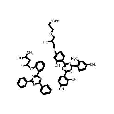 CCC(CC(C)O)Oc1ccccc1-c1nc(-c2ccccc2)nc(-c2ccccc2)n1.CCCCCCCCCCCCOCC(O)COc1ccc(-c2nc(-c3ccc(C)cc3C)nc(-c3ccc(C)cc3C)n2)c(O)c1